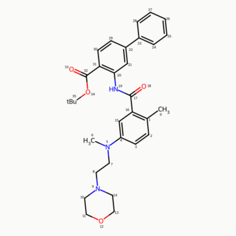 Cc1ccc(N(C)CCN2CCOCC2)cc1C(=O)Nc1cc(-c2ccccc2)ccc1C(=O)OC(C)(C)C